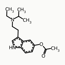 CCN(CCc1c[nH]c2ccc(OC(C)=O)cc12)C(C)C